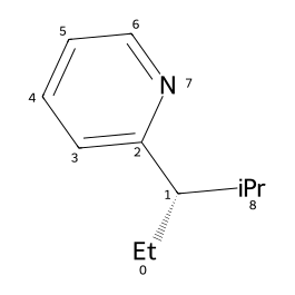 CC[C@H](c1ccccn1)C(C)C